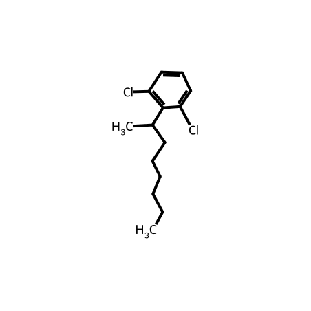 CCCCCCC(C)c1c(Cl)cccc1Cl